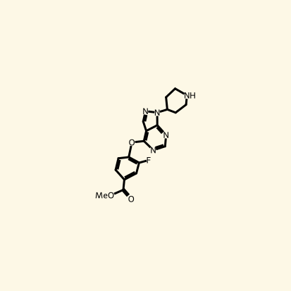 COC(=O)c1ccc(Oc2ncnc3c2cnn3C2CCNCC2)c(F)c1